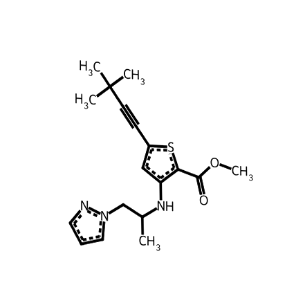 COC(=O)c1sc(C#CC(C)(C)C)cc1NC(C)Cn1cccn1